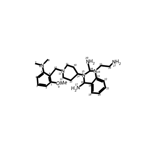 COc1cccc(N(C)C)c1CN1CCC(N2C(N)c3ccccc3N(CCN)C2N)CC1